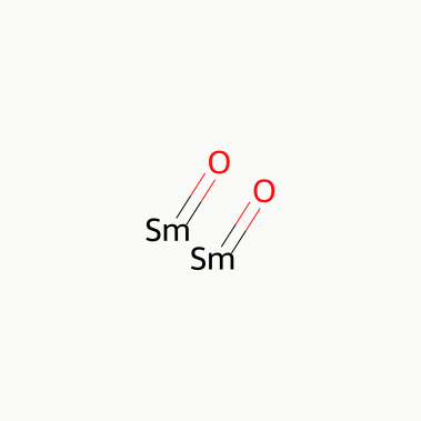 [O]=[Sm].[O]=[Sm]